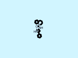 O=C(Nc1cc(-c2ccccc2)[nH]n1)N1CCCCc2ccccc21